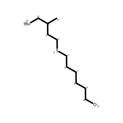 CC(CCSCCCCCC[O])CC(C)(C)C